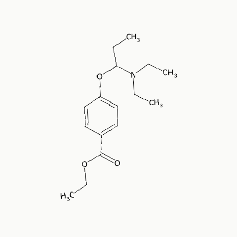 CCOC(=O)c1ccc(OC(CC)N(CC)CC)cc1